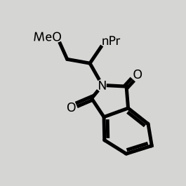 CCCC(COC)N1C(=O)c2ccccc2C1=O